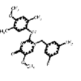 COc1cc(C)c(Nc2nc(=O)c(OC)cn2Cc2cc(F)cc(P)c2)cc1C